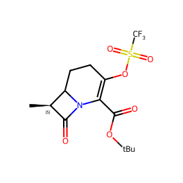 C[C@@H]1C(=O)N2C(C(=O)OC(C)(C)C)=C(OS(=O)(=O)C(F)(F)F)CCC12